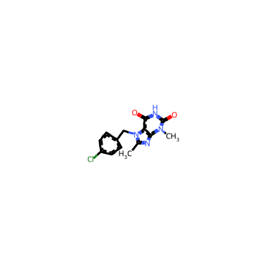 Cc1nc2c(c(=O)[nH]c(=O)n2C)n1Cc1ccc(Cl)cc1